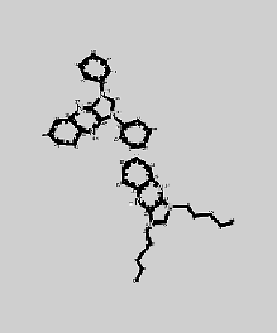 CCCCCN1CN(CCCCC)c2nc3ccccc3nc21.c1ccc(N2CN(c3ccccc3)c3nc4ccccc4nc32)cc1